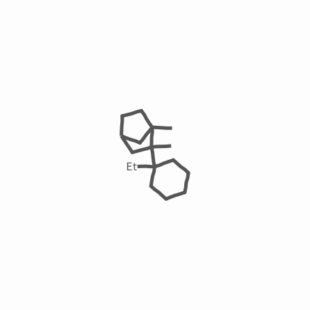 CCC1(C2(C)CC3CCC2(C)C3)CCCCC1